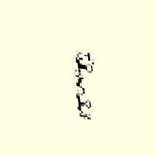 C=CC(=O)OCCOCC(=O)CC(C)=O